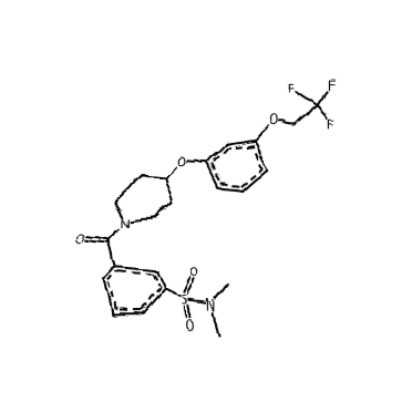 CN(C)S(=O)(=O)c1cccc(C(=O)N2CCC(Oc3cccc(OCC(F)(F)F)c3)CC2)c1